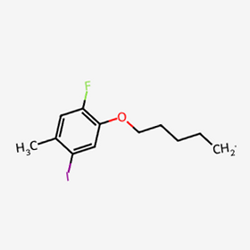 [CH2]CCCCOc1cc(I)c(C)cc1F